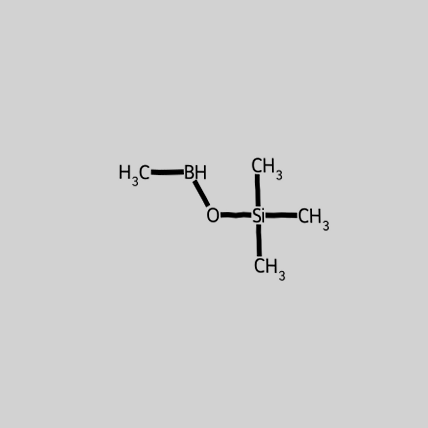 CBO[Si](C)(C)C